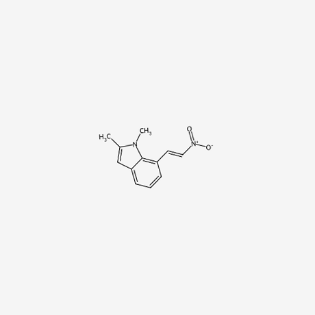 Cc1cc2cccc(C=C[N+](=O)[O-])c2n1C